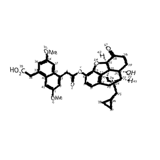 COc1cc(CC(=O)Oc2ccc3c4c2O[C@H]2C(=O)CC[C@@]5(O)[C@@H](C3)N(CC3CC3)CC[C@]425)c2cc(OC)cc(CC(=O)O)c2c1